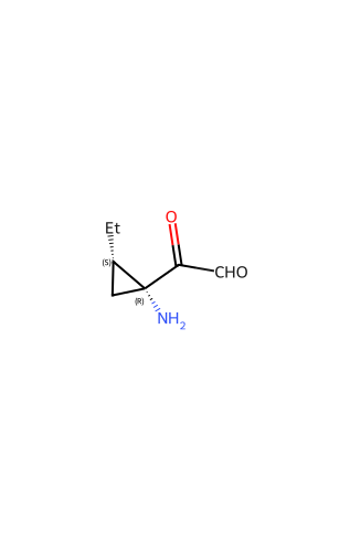 CC[C@H]1C[C@]1(N)C(=O)C=O